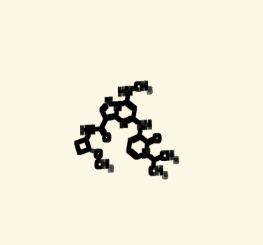 CNc1cc(Nc2cccn(C(C)C)c2=O)nc2c(C(=O)NC3CC[C@H]3OC)cnn12